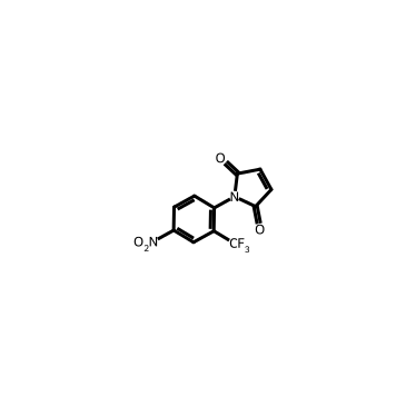 O=C1C=CC(=O)N1c1ccc([N+](=O)[O-])cc1C(F)(F)F